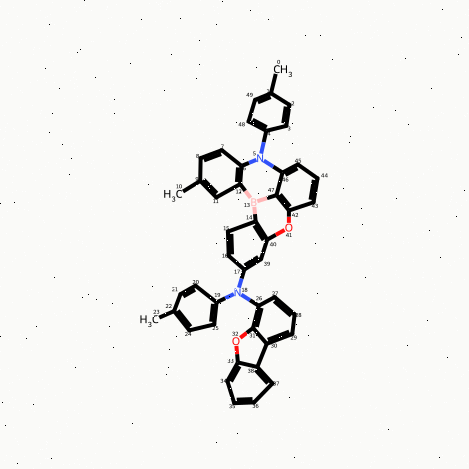 Cc1ccc(N2c3ccc(C)cc3B3c4ccc(N(c5ccc(C)cc5)c5cccc6c5oc5ccccc56)cc4Oc4cccc2c43)cc1